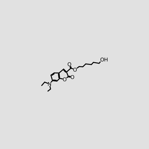 CCN(CC)c1ccc2cc(C(=O)OCCCCCCO)c(=O)oc2c1